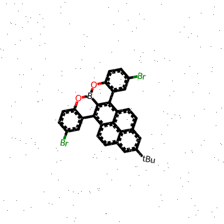 CC(C)(C)c1cc2ccc3c4c5c(c6ccc(c1)c2c36)-c1cc(Br)ccc1OB5Oc1ccc(Br)cc1-4